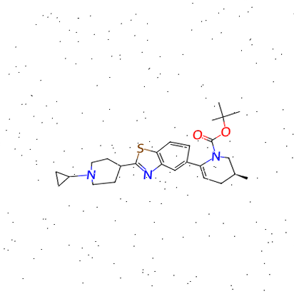 C[C@H]1CC=C(c2ccc3sc(C4CCN(C5CC5)CC4)nc3c2)N(C(=O)OC(C)(C)C)C1